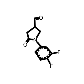 O=CC1CC(=O)N(c2ccc(F)c(F)c2)C1